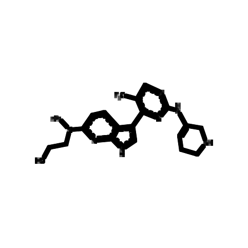 CCCN(CCO)c1ccc2c(-c3nc(NC4=CCCNC4)ncc3C(F)(F)F)c[nH]c2n1